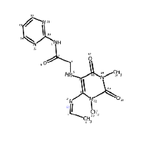 C/C=N\c1c(NCC(=O)Nc2ncccn2)c(=O)n(C)c(=O)n1C